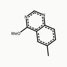 COc1ncnc2ccc(C)cc12